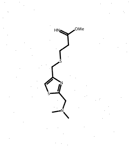 COC(=N)CCSCc1csc(CN(C)C)n1